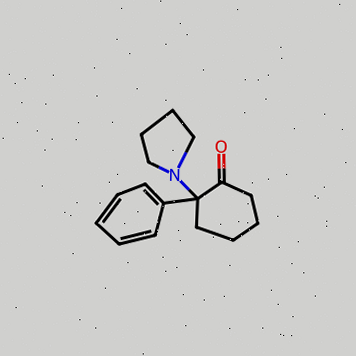 O=C1CCCCC1(c1ccccc1)N1CCCC1